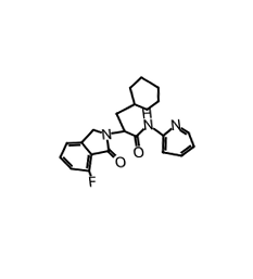 O=C(Nc1ccccn1)C(CC1CCCCC1)N1Cc2cccc(F)c2C1=O